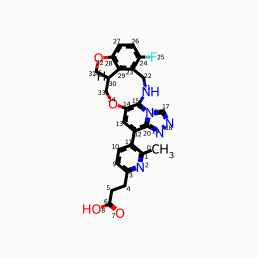 Cc1nc(CCC(=O)O)ccc1-c1cc2c(n3cnnc13)NCc1c(F)ccc3c1[C@@H](CO3)CO2